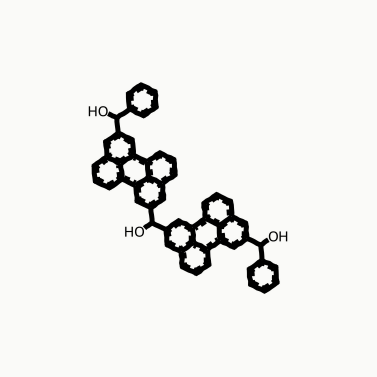 OC(c1ccccc1)c1cc2cccc3c4cc(C(O)c5cc6cccc7c8cc(C(O)c9ccccc9)cc9cccc(c(c5)c67)c98)cc5cccc(c(c1)c23)c54